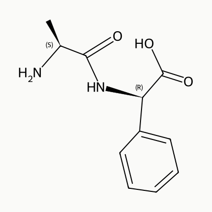 C[C@H](N)C(=O)N[C@@H](C(=O)O)c1ccccc1